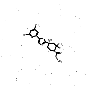 COC(=O)[C@H]1CC[C@](O)(c2ncc(-c3cc(C)cc(Br)n3)s2)CC1(C)C